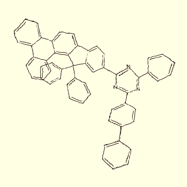 c1ccc(-c2ccc(-c3nc(-c4ccccc4)nc(-c4ccc5c(c4)C(c4ccccc4)(c4ccccc4)c4c-5ccc5c6ccccc6c6ccccc6c45)n3)cc2)cc1